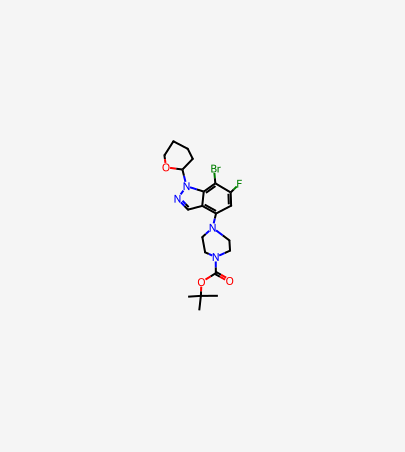 CC(C)(C)OC(=O)N1CCN(c2cc(F)c(Br)c3c2cnn3C2CCCCO2)CC1